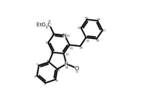 CCOC(=O)c1cc2c3ccccc3n(Cl)c2c(Cc2ccccc2)n1